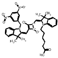 CC1(C)C(=C[c+]2c([O-])c(C=C3N(Cc4cc([N+](=O)[O-])cc([N+](=O)[O-])c4)c4ccccc4C3(C)C)[c+]2[O-])N(CCCCCC(=O)O)c2ccccc21